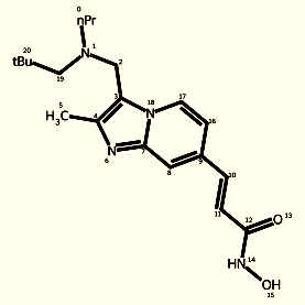 CCCN(Cc1c(C)nc2cc(C=CC(=O)NO)ccn12)CC(C)(C)C